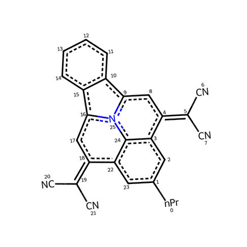 CCCc1cc2c(=C(C#N)C#N)cc3c4ccccc4c4cc(=C(C#N)C#N)c(c1)c2n34